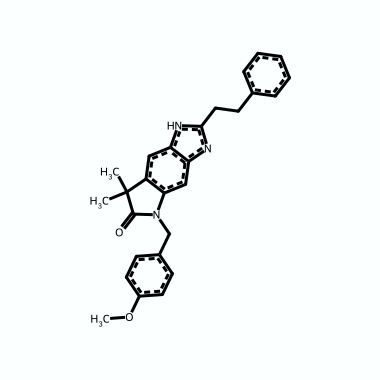 COc1ccc(CN2C(=O)C(C)(C)c3cc4[nH]c(CCc5ccccc5)nc4cc32)cc1